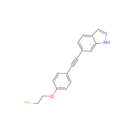 [18F]CCOc1ccc(C#Cc2ccc3cc[nH]c3c2)cc1